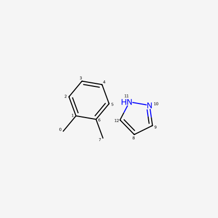 Cc1ccccc1C.c1cn[nH]c1